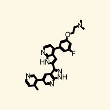 Cc1ccncc1-c1cnc2[nH]nc(-c3cc4c(-c5cc(F)cc(OCCN(C)C)c5)ccnc4[nH]3)c2c1